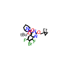 CCC1(COc2nc(N3CC4CCC(C3)N4C(=O)OC(C)(C)C)c3cc(F)c(Br)c(F)c3n2)CC1